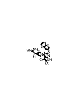 CCc1[nH]c2nc(Sc3cnc4nccnc4c3)nc(N3CC4C(C3)C4NC(=N)N)c2c1Cl